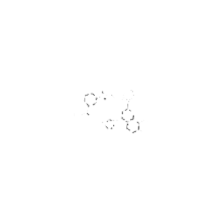 O=C(O)c1cccc(S(=O)(=O)NC[C@@H]2CCCN2c2cc(-n3ccnc3)c3ccc(Cl)c(Cl)c3n2)c1